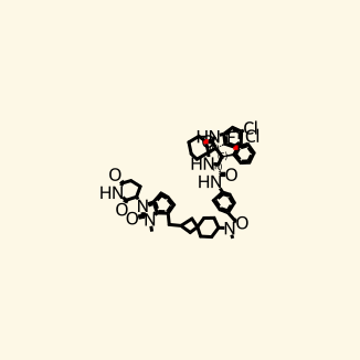 CN(C(=O)c1ccc(NC(=O)[C@@H]2NC3(CCCCC3)[C@@]3(C(=O)Nc4cc(Cl)ccc43)[C@H]2c2cccc(Cl)c2F)cc1)C1CCC2(CC1)CC(Cc1cccc3c1n(C)c(=O)n3C1CCC(=O)NC1=O)C2